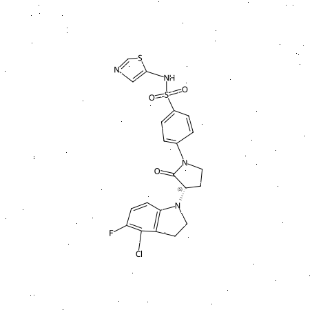 O=C1[C@@H](N2CCc3c2ccc(F)c3Cl)CCN1c1ccc(S(=O)(=O)Nc2cncs2)cc1